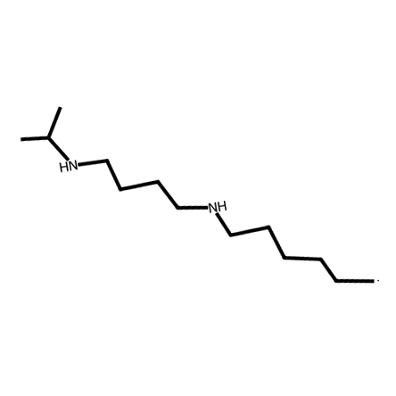 [CH2]CCCCCNCCCCNC(C)C